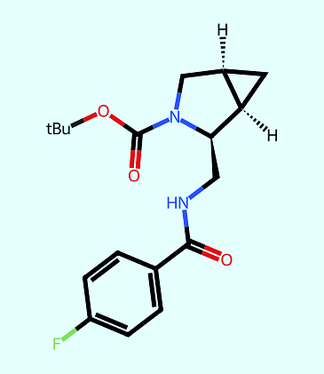 CC(C)(C)OC(=O)N1C[C@H]2C[C@H]2[C@H]1CNC(=O)c1ccc(F)cc1